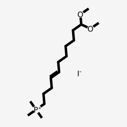 COC(CCCCC/C=C/CCC[P+](C)(C)C)OC.[I-]